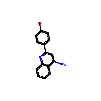 Nc1cc(-c2ccc(Br)cc2)nc2ccccc12